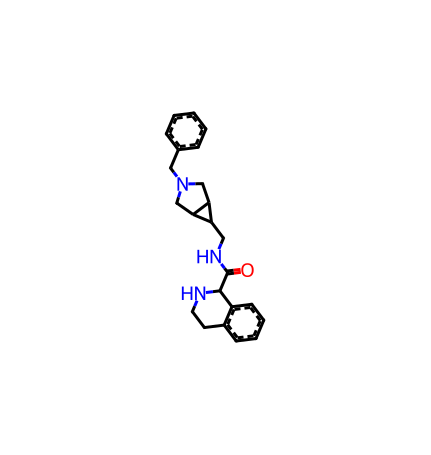 O=C(NCC1C2CN(Cc3ccccc3)CC12)C1NCCc2ccccc21